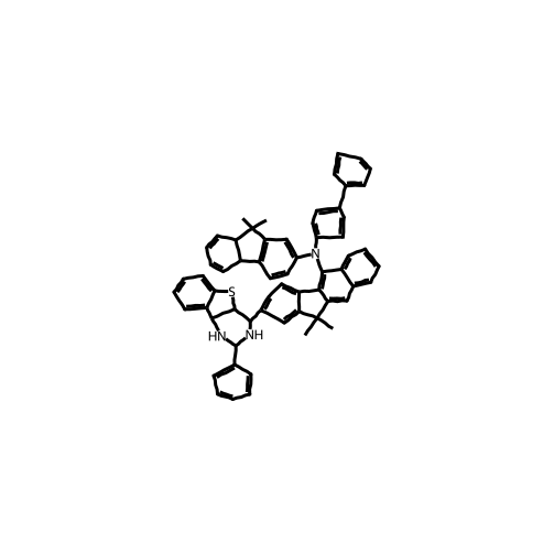 CC1(C)c2cc(C3NC(c4ccccc4)NC4c5ccccc5SC34)ccc2-c2c1cc1ccccc1c2N(c1ccc(-c2ccccc2)cc1)c1ccc2c(c1)C(C)(C)C1C=CC=CC21